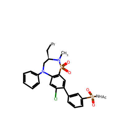 CC(=O)NS(=O)(=O)c1cccc(-c2cc3c(cc2Cl)N(c2ccccc2)C[C@@H](CC(C)C)N(C)S3(=O)=O)c1